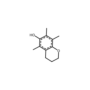 Cc1c(C)c2c(c(C)c1O)CCCO2